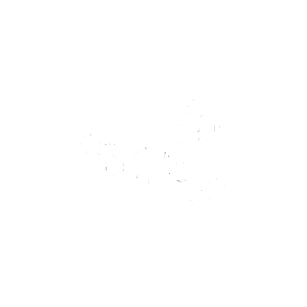 C[Si]1(C)c2ccccc2-c2ccc(N(c3ccc(-c4cccc5ccccc45)cc3)c3ccc4c(c3)[Si](C)(C)c3ccc5c(oc6ccccc65)c3-4)cc21